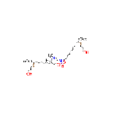 CCCCCCCCC(CCCCCCCCCOP(=O)(NCCN(C)C)OCCCCCCCCCC(CCCCCCCC)SCCCO)SCCCO